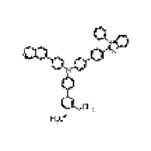 C=CC1=CCC(c2ccc(N(c3ccc(-c4ccc(-c5nc6ccccc6n5-c5ccccc5)cc4)cc3)c3ccc(-c4ccc5ccncc5c4)cc3)cc2)C=C1CC